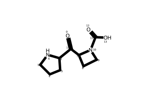 O=C(C1CCCN1)C1CCN1C(=O)O